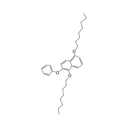 CCCCCCCCOc1cccc2c(OCCCCCCCC)c(Oc3ccccc3)ccc12